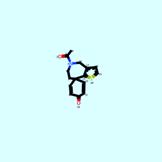 CC(=O)N1CCC2(C=CC(=O)C=C2)c2sccc2C1